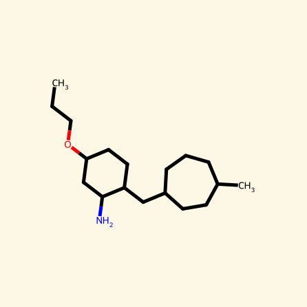 CCCOC1CCC(CC2CCCC(C)CC2)C(N)C1